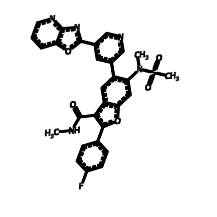 CNC(=O)c1c(-c2ccc(F)cc2)oc2cc(N(C)S(C)(=O)=O)c(-c3cncc(-c4nc5ncccc5o4)c3)cc12